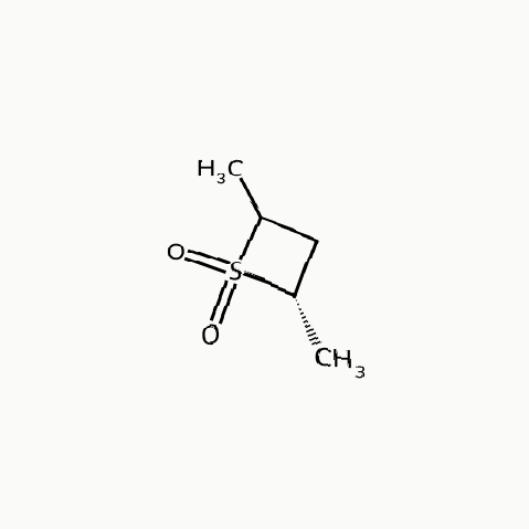 CC1C[C@H](C)S1(=O)=O